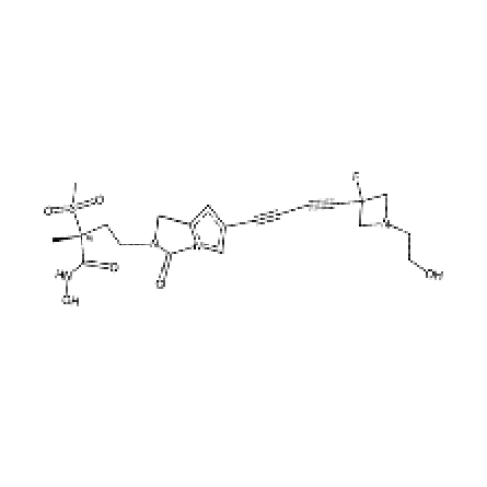 C[C@@](CCN1Cc2cc(C#CC#CC3(F)CN(CCO)C3)cn2C1=O)(C(=O)NO)S(C)(=O)=O